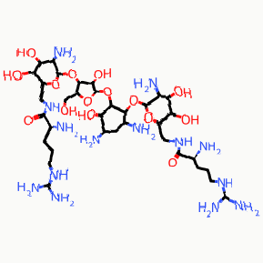 NC(N)NCCC[C@H](N)C(=O)NCC1OC(OC2C(CO)OC(OC3C(O)C(N)CC(N)C3OC3OC(CNC(=O)[C@@H](N)CCCNC(N)N)C(O)C(O)C3N)C2O)C(N)C(O)C1O